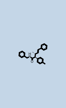 Cc1ccc([C@@H](C(=O)NCc2ccccc2)[C@H](C)/C=C/c2ccccc2)cc1